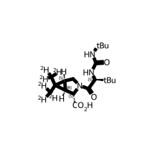 [2H]C([2H])([2H])C1(C([2H])([2H])[2H])[C@@H]2[C@@H](C(=O)O)N(C(=O)[C@@H](NC(=O)NC(C)(C)C)C(C)(C)C)C[C@@H]21